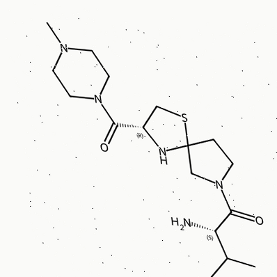 CC(C)[C@H](N)C(=O)N1CCC2(C1)N[C@H](C(=O)N1CCN(C)CC1)CS2